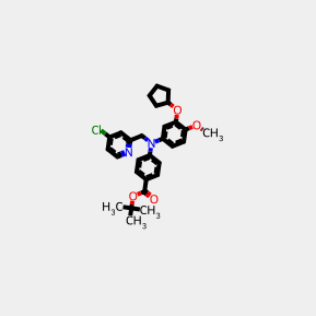 COc1ccc(N(Cc2cc(Cl)ccn2)c2ccc(C(=O)OC(C)(C)C)cc2)cc1OC1CCCC1